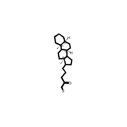 C[C@]12CCC3[C@@H](CC[C@@H]4CCCC[C@]34C)C1CCC2CCCC(=O)CF